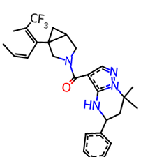 C/C=C\C(=C(/C)C(F)(F)F)C12CC1CN(C(=O)c1cnn3c1NC(c1ccccc1)CC3(C)C)C2